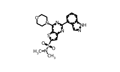 CN(C)S(=O)(=O)c1cc2nc(-c3cccc4[nH]ncc34)nc(N3CCOCC3)c2s1